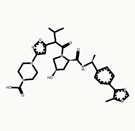 Cc1ncsc1-c1ccc([C@H](C)NC(=O)[C@H]2C[C@@H](O)CN2C(=O)C(c2cc(N3CCN(C(=O)O)CC3)no2)C(C)C)cc1